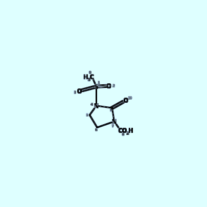 CS(=O)(=O)N1CCN(C(=O)O)C1=O